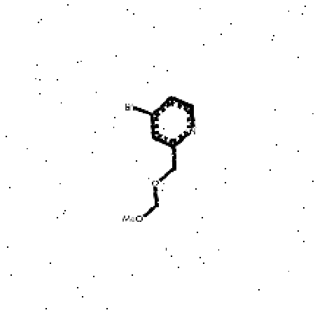 COCOCc1cc(Br)ccn1